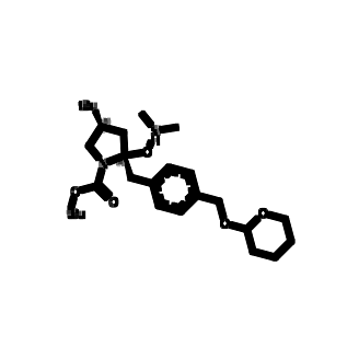 C[SiH](C)O[C@@]1(Cc2ccc(COC3CCCCO3)cc2)C[C@H](C(C)(C)C)CN1C(=O)OC(C)(C)C